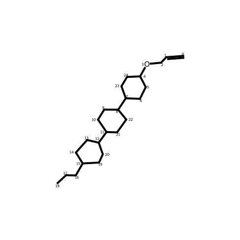 C=CCOC1CCC(C2CCC(C3CCC(CCC)CC3)CC2)CC1